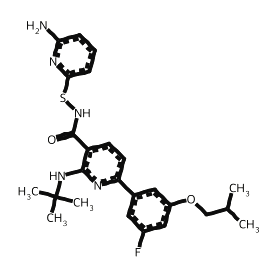 CC(C)COc1cc(F)cc(-c2ccc(C(=O)NSc3cccc(N)n3)c(NC(C)(C)C)n2)c1